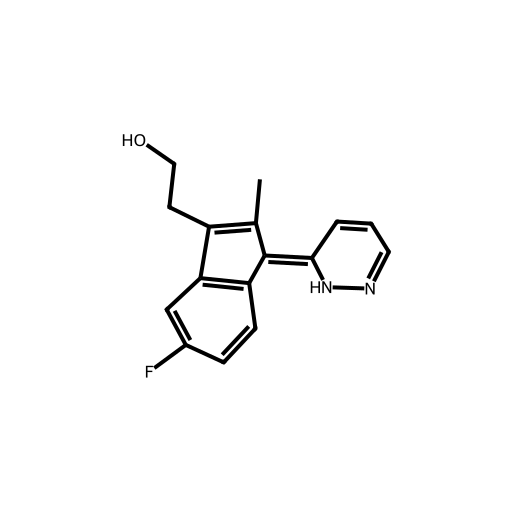 CC1=C(CCO)c2cc(F)ccc2/C1=C1/C=CC=NN1